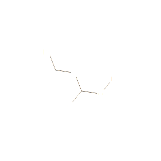 CCOC(C)OCBr